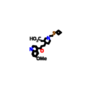 COc1ccc2nccc(C(=O)CCC3CCN(CCSC4CCC4)CC3CC(=O)O)c2c1